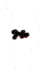 Cc1ccccc1-c1cc(N(c2ccc(-c3ccccc3)cc2)c2ccc(-c3cc4c5ccccc5n(-c5ccc6oc7ccccc7c6c5)c4c4c3sc3ccccc34)cc2)ccc1C